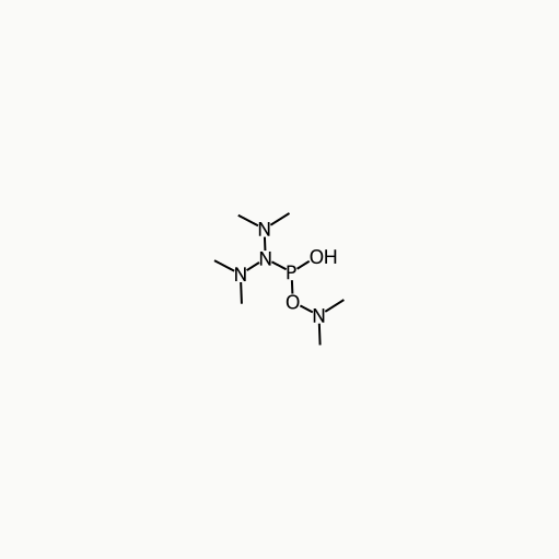 CN(C)OP(O)N(N(C)C)N(C)C